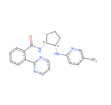 O=C(N[C@@H]1CCC[C@@H]1Nc1ccc(C(F)(F)F)cn1)c1ccccc1-c1ncccn1